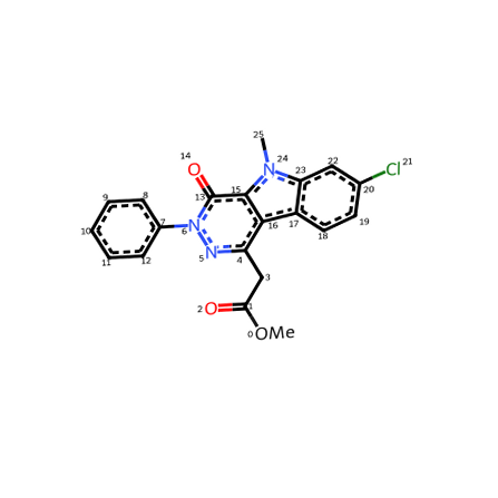 COC(=O)Cc1nn(-c2ccccc2)c(=O)c2c1c1ccc(Cl)cc1n2C